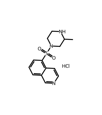 CC1CN(S(=O)(=O)c2cccc3cnccc23)CCN1.Cl